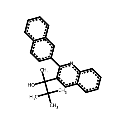 CC(C)(C)C(C)(O)c1cc2ccccc2nc1-c1ccc2ccccc2c1